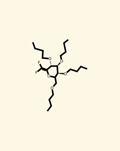 CCCCOCC1OC(=C(F)F)[C@H](OCCCC)[C@@H](OCCCC)[C@H]1OCCCC